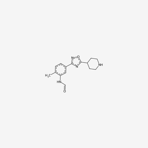 Cc1ccc(-c2noc(C3CCNCC3)n2)cc1NC=O